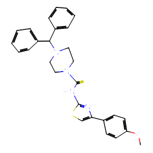 COc1ccc(-c2csc(NC(=S)N3CCN(C(c4ccccc4)c4ccccc4)CC3)n2)cc1